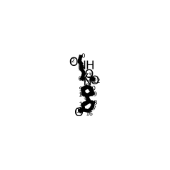 CC(=O)NCC1CN(c2ccc(C3=CC(=O)CCC3)cc2)C(=O)O1